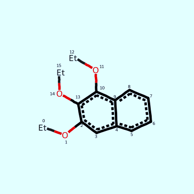 CCOc1cc2ccccc2c(OCC)c1OCC